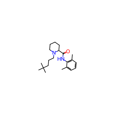 Cc1cccc(C)c1NC(=O)C1CCCCN1CCCC(C)(C)C